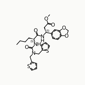 CCCC[C@H](NC(=O)N(Cc1cccs1)Cc1cccs1)C(=O)N[C@@H](CC(=O)OC)c1ccc2c(c1)OCO2